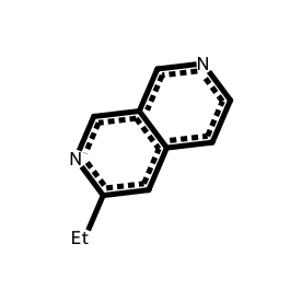 CCc1cc2ccncc2cn1